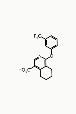 O=C(O)c1cnc(Oc2cccc(C(F)(F)F)c2)c2c1CCCC2